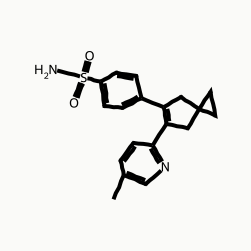 Cc1ccc(C2=C(c3ccc(S(N)(=O)=O)cc3)CC3(CC3)C2)nc1